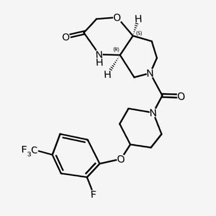 O=C1CO[C@H]2CCN(C(=O)N3CCC(Oc4ccc(C(F)(F)F)cc4F)CC3)C[C@H]2N1